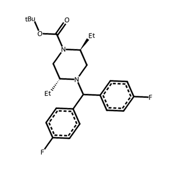 CC[C@H]1CN(C(c2ccc(F)cc2)c2ccc(F)cc2)[C@H](CC)CN1C(=O)OC(C)(C)C